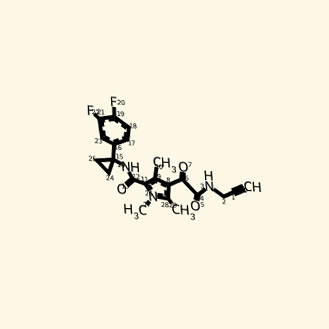 C#CCNC(=O)C(=O)c1c(C)c(C(=O)NC2(c3ccc(F)c(F)c3)CC2)n(C)c1C